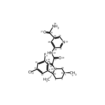 C[C@H]1CC[C@@](C)(c2cc(F)cc(Cl)c2)N(C(=O)C(=O)Nc2cncc(C(N)=O)c2)C1